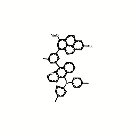 COc1cc(-c2cc(C)cc(-c3c4ccccc4c(N(c4ccc(C)cc4)c4ccc(C)cc4)c4ccccc34)c2)c2ccc3cc(C(C)(C)C)cc4ccc1c2c43